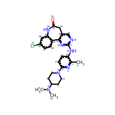 Cc1nc(N2CCC(N(C)C)CC2)ccc1Nc1ncc2c(n1)-c1ccc(Cl)cc1NC(=O)C2